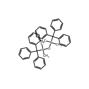 C[Si](C)(O[Si](C)(C)C(c1ccccc1)(c1ccccc1)c1ccccc1)C(c1ccccc1)(c1ccccc1)c1ccccc1